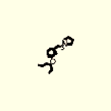 CCCC(CC)Oc1cccc(CSN2CCCC2)c1